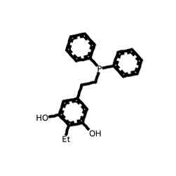 CCc1c(O)cc(CCP(c2ccccc2)c2ccccc2)cc1O